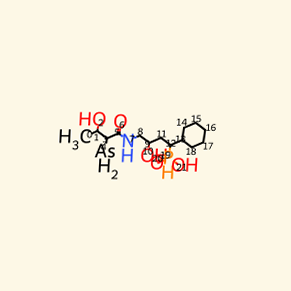 CC(O)C([AsH2])C(=O)NC[C@H](O)CC(C1CCCCC1)[PH](=O)O